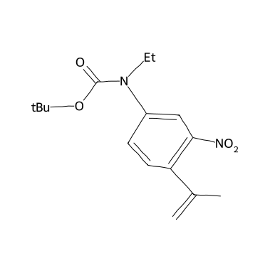 C=C(C)c1ccc(N(CC)C(=O)OC(C)(C)C)cc1[N+](=O)[O-]